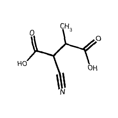 CC(C(=O)O)C(C#N)C(=O)O